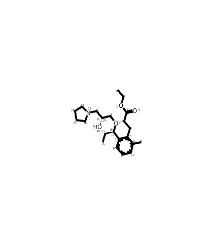 CCOC(=O)CCc1c(C)cccc1[C@@H](CC)OC[C@H](O)CN1CCCC1